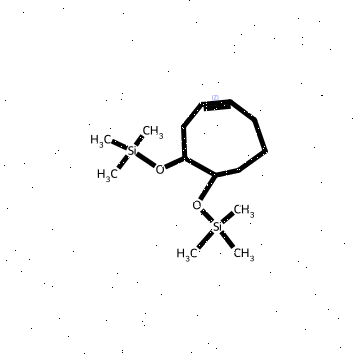 C[Si](C)(C)OC1C/C=C\CCCC1O[Si](C)(C)C